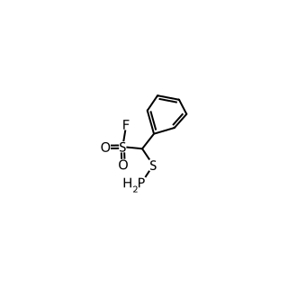 O=S(=O)(F)C(SP)c1ccccc1